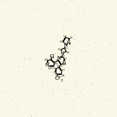 FC(F)(F)c1ccc(-c2ncc(N3CC(n4cccn4)C3)nc2-c2ccncc2Cl)cc1